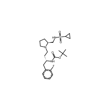 CC(C)(C)OC(=O)N[C@@H](CCN1CCC[C@H]1CNS(=O)(=O)C1CC1)Cc1ccccc1F